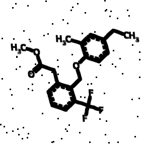 CCc1ccc(OCc2c(CC(=O)OC)cccc2C(F)(F)F)c(C)c1